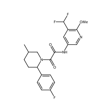 COc1ncc(NC(=O)C(=O)N2CC(C)CCC2c2ccc(F)cc2)cc1C(F)F